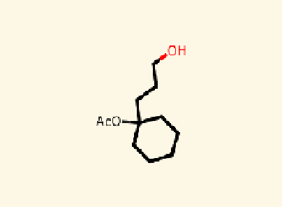 CC(=O)OC1(CCCO)CCCCC1